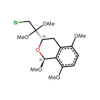 COc1ccc(OC)c2c1C[C@@H](C(CBr)(OC)OC)O[C@@H]2OC